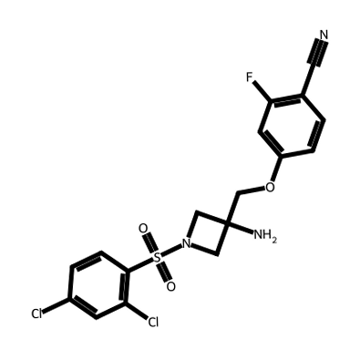 N#Cc1ccc(OCC2(N)CN(S(=O)(=O)c3ccc(Cl)cc3Cl)C2)cc1F